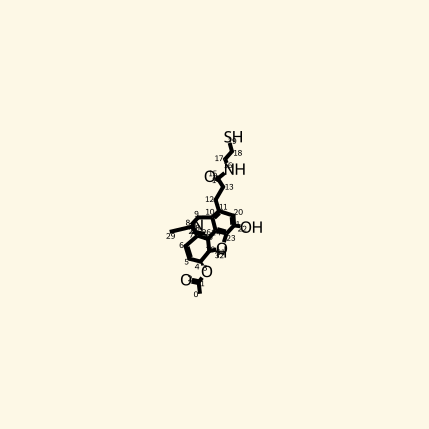 CC(=O)O[C@H]1C=CC2C3Cc4c(CCC(=O)NCCS)cc(O)c5c4[C@@]2(CCN3C)[C@H]1O5